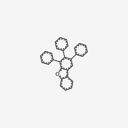 c1ccc(-c2cc3c(oc4ccccc43)c(-c3ccccc3)c2-c2ccccc2)cc1